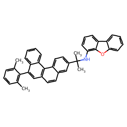 Cc1cccc(C)c1-c1cc2ccc3cc(C(C)(C)Nc4cccc5c4oc4ccccc45)ccc3c2c2ccccc12